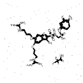 CCc1c(S(=O)(=O)NCP(=O)(O)Oc2ccc(C#N)c(F)c2)sc2cc(OCCCNC(=N)N)c(OCCCNC(=N)N)cc12.O=C(O)C(F)(F)F